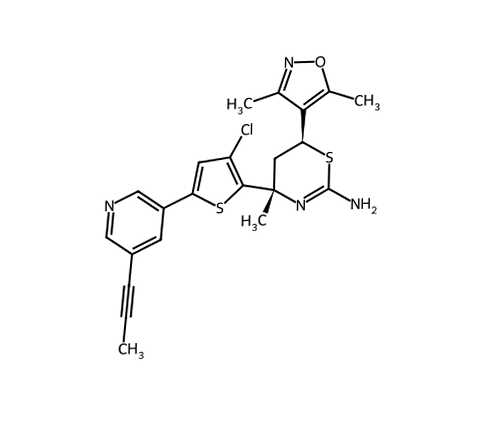 CC#Cc1cncc(-c2cc(Cl)c([C@]3(C)C[C@@H](c4c(C)noc4C)SC(N)=N3)s2)c1